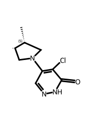 C[C@H]1[CH]CN(c2cn[nH]c(=O)c2Cl)C1